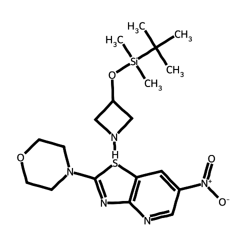 CC(C)(C)[Si](C)(C)OC1CN([SH]2C(N3CCOCC3)=Nc3ncc([N+](=O)[O-])cc32)C1